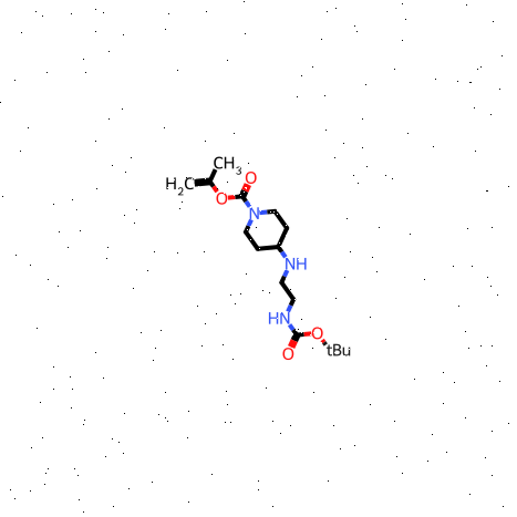 C=C(C)OC(=O)N1CCC(NCCNC(=O)OC(C)(C)C)CC1